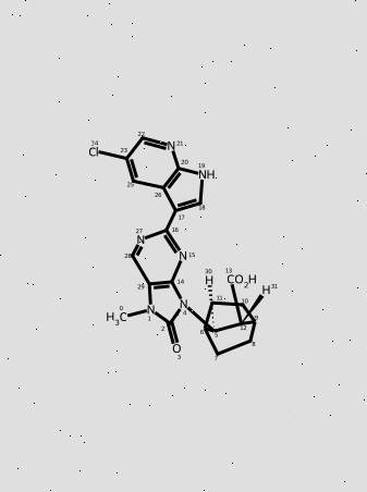 Cn1c(=O)n([C@@H]2C3CCC(CC3)[C@H]2C(=O)O)c2nc(-c3c[nH]c4ncc(Cl)cc34)ncc21